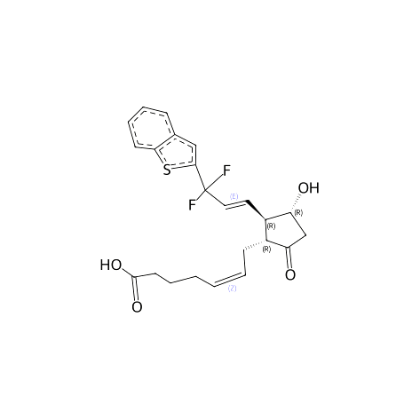 O=C(O)CCC/C=C\C[C@H]1C(=O)C[C@@H](O)[C@@H]1/C=C/C(F)(F)c1cc2ccccc2s1